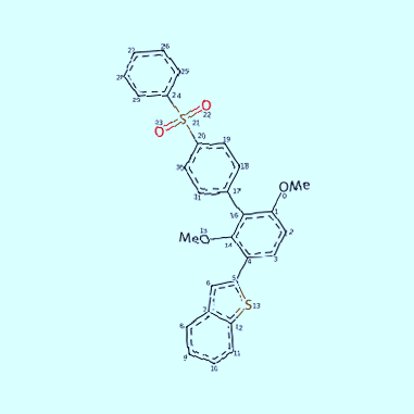 COc1[c]cc(-c2cc3ccccc3s2)c(OC)c1-c1ccc(S(=O)(=O)c2ccccc2)cc1